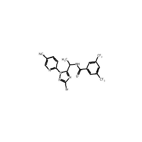 CC(NC(=O)c1cc(C(F)(F)F)cc(C(F)(F)F)c1)c1nc(Br)nn1-c1ccc(C#N)cn1